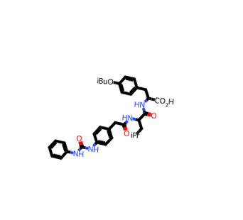 CC(C)COc1ccc(CC(NC(=O)C(CC(C)C)NC(=O)Cc2ccc(NC(=O)Nc3ccccc3)cc2)C(=O)O)cc1